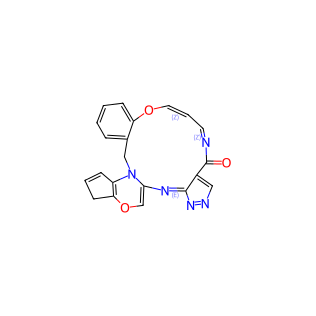 O=C1/N=C\C=C/Oc2ccccc2CN2C(=COC3=C2C=CC3)/N=C2/N=NC=C12